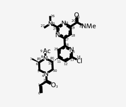 C=CC(=O)N1C[C@@H](C)N(C(C)=O)[C@H](c2cc(Cl)nc(-c3cc(C(=O)NC)nc(N(C)C)n3)c2)C1